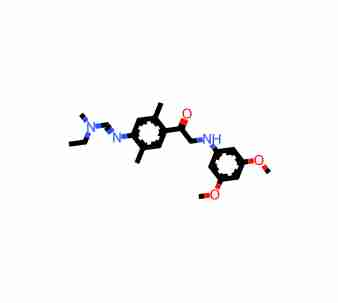 CCN(C)C=Nc1cc(C)c(C(=O)CNc2cc(OC)cc(OC)c2)cc1C